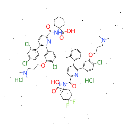 CN(C)CCCOc1cc(-c2nc(C(=O)NC3(C(=O)O)CCCCC3)ccc2-c2ccc(Cl)cc2Cl)ccc1Cl.Cc1ccccc1-c1ccc(C(=O)NC2(C(=O)O)CCC(F)(F)CC2)nc1-c1ccc(Cl)c(OCCCN(C)C)c1.Cl.Cl